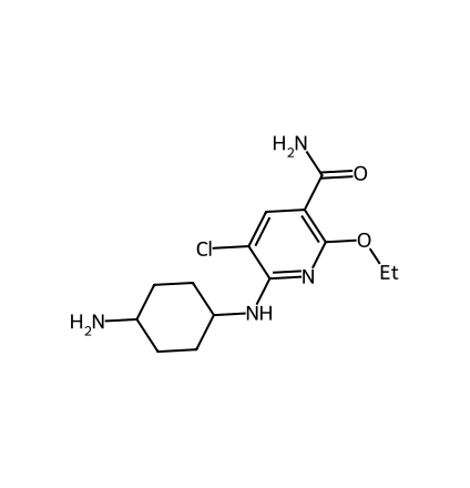 CCOc1nc(NC2CCC(N)CC2)c(Cl)cc1C(N)=O